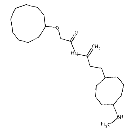 C=C(CCC1CCCC(BC)CCC1)NC(=O)COC1CCCCCCCCC1